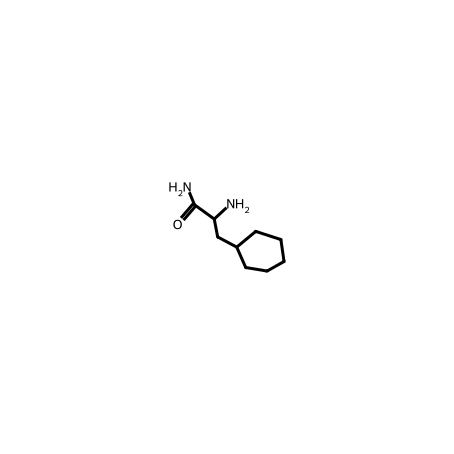 NC(=O)C(N)CC1CCCCC1